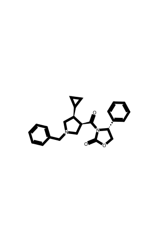 O=C1OC[C@@H](c2ccccc2)N1C(=O)[C@H]1CN(Cc2ccccc2)C[C@H]1C1CC1